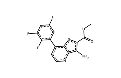 COC(=O)c1sc2c(-c3cc(F)cc(F)c3F)ccnc2c1N